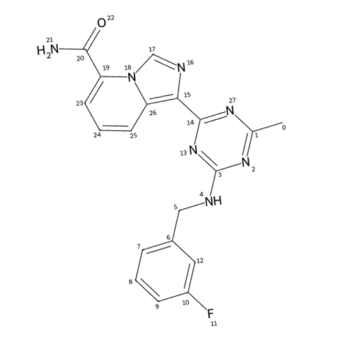 Cc1nc(NCc2cccc(F)c2)nc(-c2ncn3c(C(N)=O)cccc23)n1